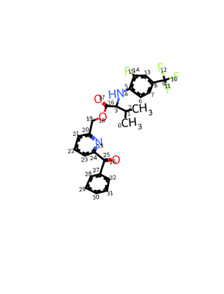 CC(C)C(Nc1ccc(C(F)(F)F)cc1F)C(=O)OCc1cccc(C(=O)c2ccccc2)n1